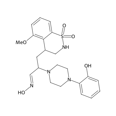 COc1cccc2c1C(CC(C=NO)N1CCN(c3ccccc3O)CC1)CNS2(=O)=O